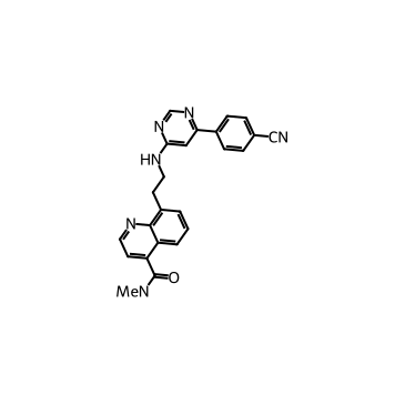 CNC(=O)c1ccnc2c(CCNc3cc(-c4ccc(C#N)cc4)ncn3)cccc12